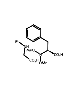 CC(C)NCC(=O)O.CON(OC)[C@@H](Cc1ccccc1)C(=O)O